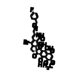 COC1=CC(=O)c2c(O)c3c(c(O)c2C1=O)C(=O)[C@]1(CCc2c1c(O)c1c(=O)[nH]c(/C=N/OCc4ccc(F)cc4)cc1c2Br)C3=O